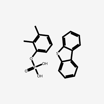 Cc1cccc(OP(=O)(O)O)c1C.c1ccc2c(c1)sc1ccccc12